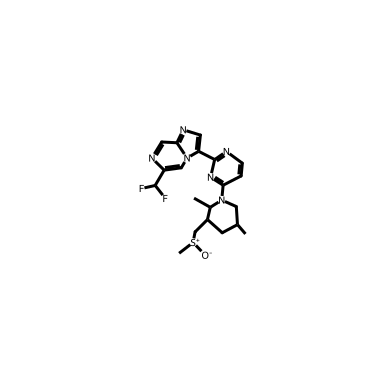 CC1CC(C[S+](C)[O-])C(C)N(c2ccnc(-c3cnc4cnc(C(F)F)cn34)n2)C1